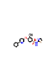 N#Cc1cc(S(=O)(=O)Nc2nccs2)ccc1Oc1ccc(-c2ccccc2)nc1